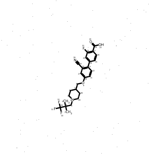 CC(C)(CN1CCC(COc2ccc(-c3ccc(C(=O)O)c(F)c3)c(C#N)c2)CC1)C(F)(F)F